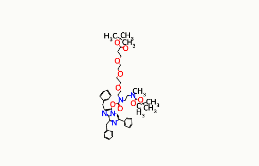 CN(CCN(CCOCCOCCOCCC(=O)OC(C)(C)C)C(=O)Oc1c(Cc2ccccc2)nc2c(Cc3ccccc3)nc(-c3ccccc3)cn12)C(=O)OC(C)(C)C